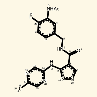 CC(=O)Nc1cc(CNC(=O)c2cnsc2Nc2cnc(C(F)(F)F)cn2)ccc1F